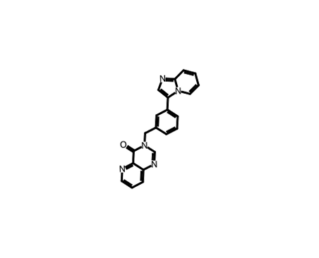 O=c1c2ncccc2ncn1Cc1cccc(-c2cnc3ccccn23)c1